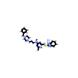 Cc1cc(N(C)CCCN2CCN(Cc3ccccc3)CC2)cc(CSc2nc3ccccc3[nH]2)n1